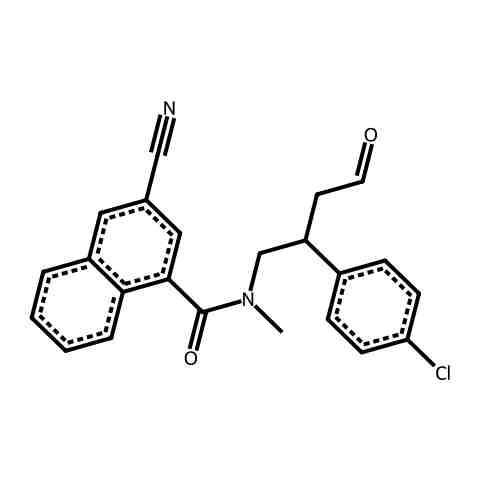 CN(CC(CC=O)c1ccc(Cl)cc1)C(=O)c1cc(C#N)cc2ccccc12